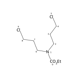 CCOC(=O)N(CCCCl)CCCCl